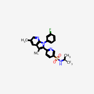 Cc1cnc2c(c1)c(C#N)c(-c1ccc(S(=O)(=O)N[C@@H](C)C(F)(F)F)cn1)n2-c1cccc(F)c1